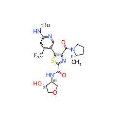 C[C@H]1CCCN1C(=O)c1nc(C(=O)N[C@H]2COC[C@@H]2O)sc1-c1cnc(NC(C)(C)C)cc1C(F)(F)F